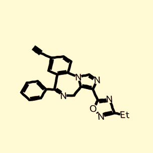 C#Cc1ccc2c(c1)C(c1ccccc1)=NCc1c(-c3nc(CC)no3)ncn1-2